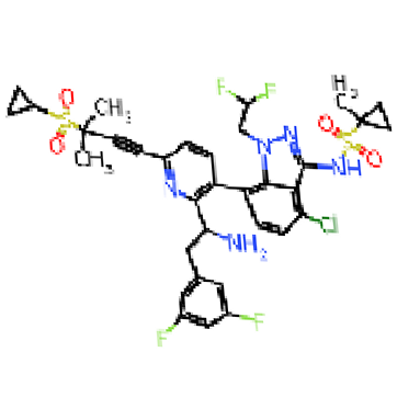 CC1(S(=O)(=O)Nc2nn(CC(F)F)c3c(-c4ccc(C#CC(C)(C)S(=O)(=O)C5CC5)nc4[C@@H](N)Cc4cc(F)cc(F)c4)ccc(Cl)c23)CC1